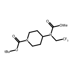 COC(=O)N(CC(F)(F)F)C1CCN(C(=O)OC(C)(C)C)CC1